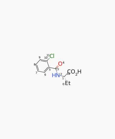 CC[C@H](NC(=O)c1ccccc1Cl)C(=O)O